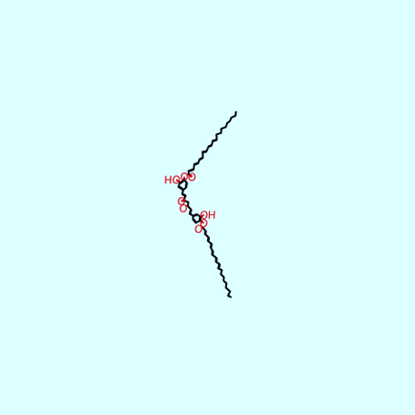 CCCCCCCCCC=CC=CC=CC=CC=CC=CC(=O)Oc1ccc(C=CC(=O)CC(=O)C=Cc2ccc(OC(=O)C=CC=CC=CC=CC=CC=CCCCCCCCCC)c(O)c2)cc1O